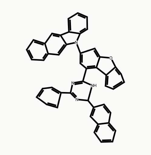 c1ccc(C2=NC(c3ccc4ccccc4c3)NC(c3cc(-n4c5ccccc5c5cc6ccccc6cc54)cc4oc5ccccc5c34)=N2)cc1